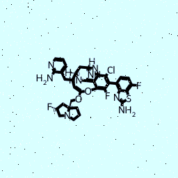 Nc1nc2c(-c3c(F)c4c5c(c3Cl)=N[C@H]3C[C@@H](NC=5N3)C(Cc3cccnc3N)C=C(OC[C@@]35CCCN3C[C@H](F)C5)O4)ccc(F)c2s1